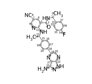 CC(NC(=O)c1cc(C#N)cnc1NC(C)c1ccc(-c2cnc3[nH]nc(N)c3n2)cc1)c1ccc(F)cc1